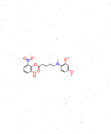 COc1ccc(N(C)CCCCC(=O)Oc2c(O)cccc2[N+](=O)[O-])c(OC)c1